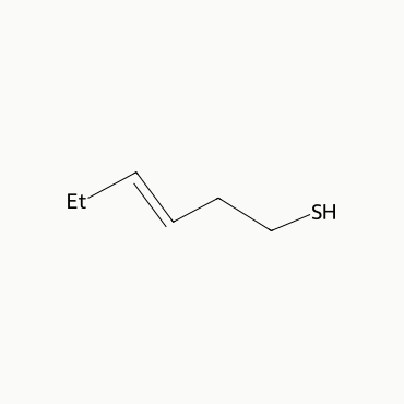 CCC=CCCS